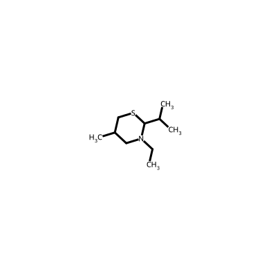 CCN1CC(C)CSC1C(C)C